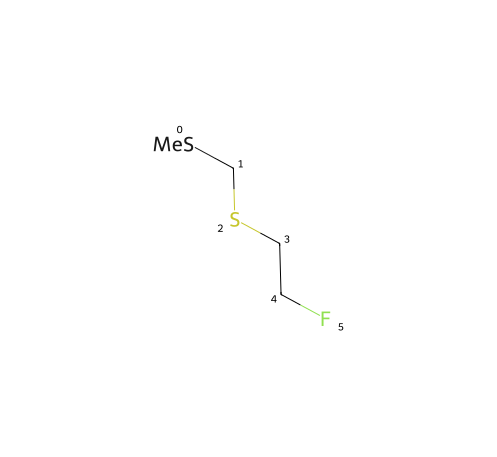 CSCSCCF